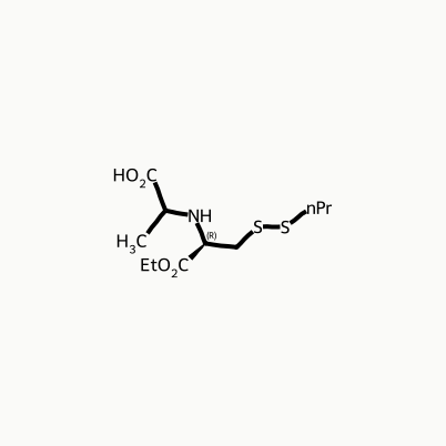 CCCSSC[C@H](NC(C)C(=O)O)C(=O)OCC